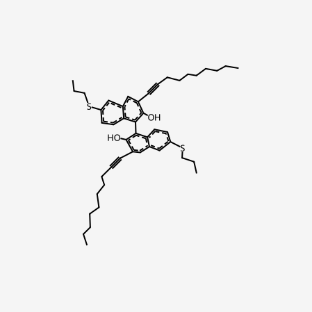 CCCCCCCCC#Cc1cc2cc(SCCC)ccc2c(-c2c(O)c(C#CCCCCCCCC)cc3cc(SCCC)ccc23)c1O